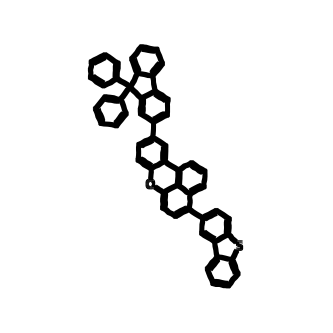 c1ccc(C2(c3ccccc3)c3ccccc3-c3ccc(-c4ccc5c(c4)-c4cccc6c(-c7ccc8sc9ccccc9c8c7)ccc(c46)O5)cc32)cc1